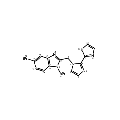 CCCn1c(Cn2ccnc2-c2nccs2)nc2cc(C(C)C)ncc21